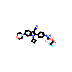 C[C@@H](OC(=O)Nc1ccc(-c2c(C#N)c3ccc(N4CCOCC4)cc3n2C2CCC2)cc1)C(F)(F)F